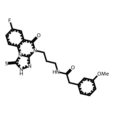 COc1cccc(CC(=O)NCCCn2c(=O)c3cc(F)ccc3n3c(=S)[nH]nc23)c1